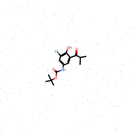 CC(C)C(=O)c1cc(NC(=O)OC(C)(C)C)cc(Cl)c1O